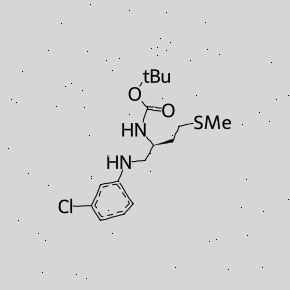 CSCC[C@@H](CNc1cccc(Cl)c1)NC(=O)OC(C)(C)C